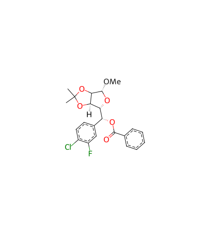 CO[C@@H]1O[C@H]([C@H](OC(=O)c2ccccc2)c2ccc(Cl)c(F)c2)[C@H]2OC(C)(C)OC12